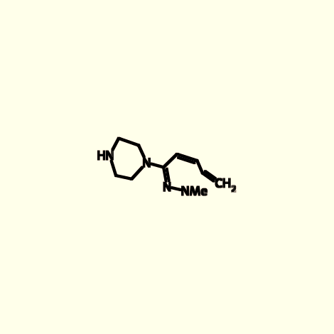 C=C/C=C\C(=N/NC)N1CCNCC1